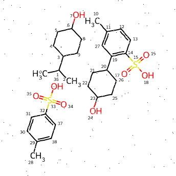 CC(C)C1CCC(O)CC1.Cc1ccc(S(=O)(=O)O)c(C2CCC(O)CC2)c1.Cc1ccc(S(=O)(=O)O)cc1